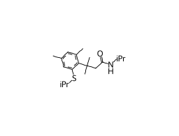 Cc1cc(C)c(C(C)(C)CC(=O)NC(C)C)c(SC(C)C)c1